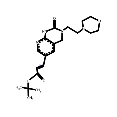 CC(C)(C)OC(=O)/C=C/c1cnc2c(c1)CN(CCN1CCOCC1)C(=O)N2